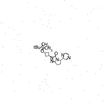 CC(C)(C)[Si](C)(C)OC1CC(n2nc3n(c2=O)C(c2cnccn2)CC3)C1